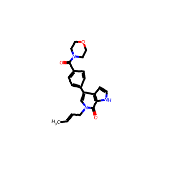 CC=CCn1cc(-c2ccc(C(=O)N3CCOCC3)cc2)c2cc[nH]c2c1=O